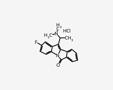 CC(c1c2n(c3ccc(F)cc13)C(=O)c1ccccc1-2)N(C)C.Cl